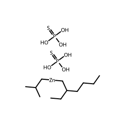 CCCCC(CC)[CH2][Zn][CH2]C(C)C.OP(O)(O)=S.OP(O)(O)=S